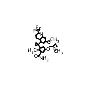 COc1cc(C2(c3cc(OCC4CCN4C)cc(C(N)=O)c3C)CC2)c2ccc(C(F)(F)F)nc2c1